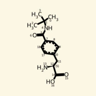 CC(C)(C)NC(=O)c1ccc(C[C@H](N)C(=O)O)cc1